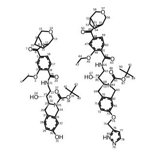 CCOc1cc(C(=O)N2C3CCC2COC3)ccc1C(=O)NC[C@@H](O)[C@@H]1Cc2ccc(O)cc2CN1C(=O)OC(C)(C)C.CCOc1cc(C(=O)N2C3CCC2COC3)ccc1C(=O)NC[C@@H](O)[C@@H]1Cc2ccc(OCc3ccn[nH]3)cc2CN1C(=O)OC(C)(C)C